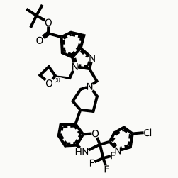 CC(C)(C)OC(=O)c1ccc2nc(CN3CCC(c4cccc5c4OC(c4ccc(Cl)cn4)(C(F)(F)F)N5)CC3)n(C[C@@H]3CCO3)c2c1